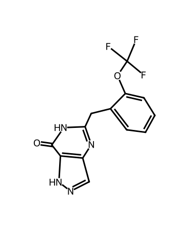 O=c1[nH]c(Cc2ccccc2OC(F)(F)F)nc2cn[nH]c12